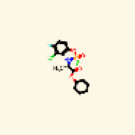 C[C@H](NP(=O)(Cl)Oc1ccc(F)c(Cl)c1)C(=O)OC1CCCCC1